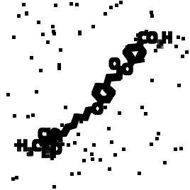 CCC(C)(C)C(=O)OCCCCCCOc1ccc(/C=C/C(=O)Oc2ccc(C(=O)O)cc2)cc1